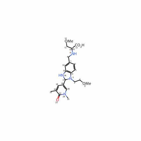 COCCN1c2ccc(CN[C@@H](COC)C(=O)O)cc2NC1c1cc(C)c(=O)n(C)c1